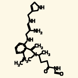 C=Cc1cccc(NC/C(N)=C/NCC2=CCNC2)c1C(=C)N(C)C(C)CCC(=O)NC=O